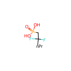 CCCC(F)(F)CP(=O)(O)O